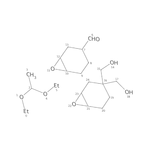 CCOC(C)OCC.O=CC1CCC2OC2C1.OCC1(CO)CCC2OC2C1